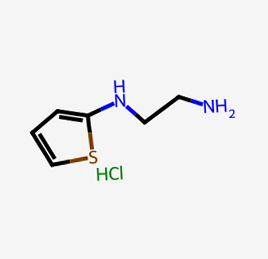 Cl.NCCNc1cccs1